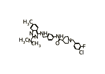 Cc1ccc2c(NCc3ccc(NC(=O)C4CCN(Cc5ccc(Cl)c(F)c5)CC4)cc3)nc(N(C)C)nc2c1